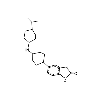 CC(C)C1CCC(NC2CCC(c3ccc4c(c3)[N]C(=O)N4)CC2)CC1